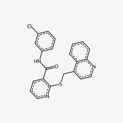 O=C(Nc1cccc(Cl)c1)c1cccnc1SCc1ccnc2ccccc12